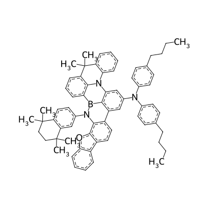 CCCCc1ccc(N(c2ccc(CCCC)cc2)c2cc3c4c(c2)N2c5ccccc5C(C)(C)c5cccc(c52)B4N(c2ccc4c(c2)C(C)(C)CCC4(C)C)c2c-3ccc3c2oc2ccccc23)cc1